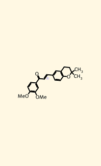 COc1ccc(C(=O)/C=C/c2ccc3c(c2)CCC(C)(C)O3)cc1OC